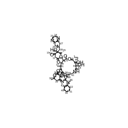 CC[C@H]1OC(=O)[C@H](C)[C@@H](O[C@H]2C[C@@](C)(OC)[C@](O)(CN3Cc4nccnc4C3)[C@H](C)O2)[C@H](C)[C@@H](O[C@@H]2O[C@H](C)C[C@H](N(C)C(=O)N(C)c3ccccc3)[C@H]2O)[C@](C)(O)C[C@@H](C)CN[C@H](C)[C@@H](O)[C@]1(C)O